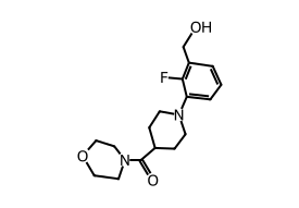 O=C(C1CCN(c2cccc(CO)c2F)CC1)N1CCOCC1